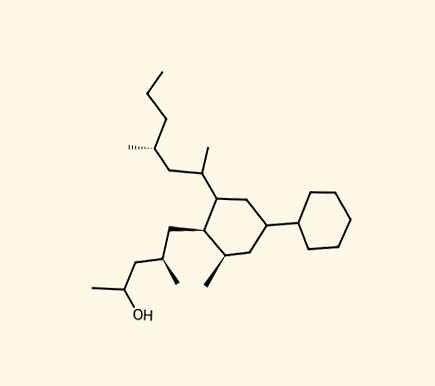 CCC[C@@H](C)CC(C)C1CC(C2CCCCC2)C[C@@H](C)[C@H]1C[C@@H](C)CC(C)O